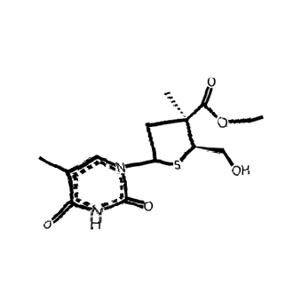 COC(=O)[C@]1(C)CC(n2cc(C)c(=O)[nH]c2=O)S[C@@H]1CO